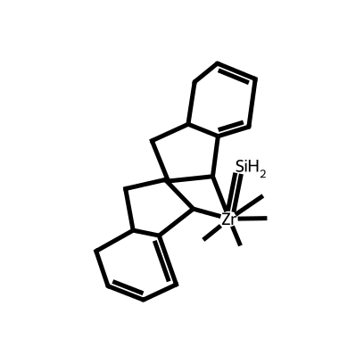 [CH3][Zr]([CH3])([CH3])([CH3])(=[SiH2])([CH]1CCC2CC=CC=C21)[CH]1CCC2CC=CC=C21